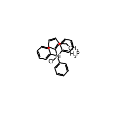 CCC1=[C]([Ni]([Cl])([c]2ccccc2)([c]2ccccc2)[c]2ccccc2)CC=C1.P